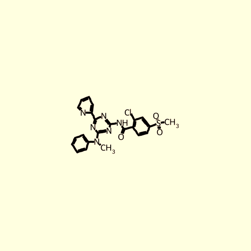 CN(c1ccccc1)c1nc(NC(=O)c2ccc(S(C)(=O)=O)cc2Cl)nc(-c2ccccn2)n1